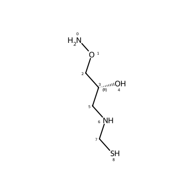 NOC[C@H](O)CNCS